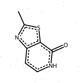 Cc1nc2cc[nH]c(=O)c2s1